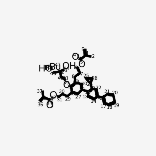 C=C(C)C(=O)OCCCc1cc(-c2ccc(-c3ccccc3)cc2C2CC2)cc(CCCOC(=O)C(=C)C)c1OCCC(CO)(CO)CCCC